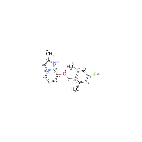 Cc1cn2cccc(OCc3c(C)cc(F)cc3C)c2n1